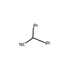 CC(C)[C](C#N)C(C)C